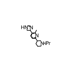 Cc1nc(C2CCCN(C(C)C)C2)ccc1C1CNC=N1